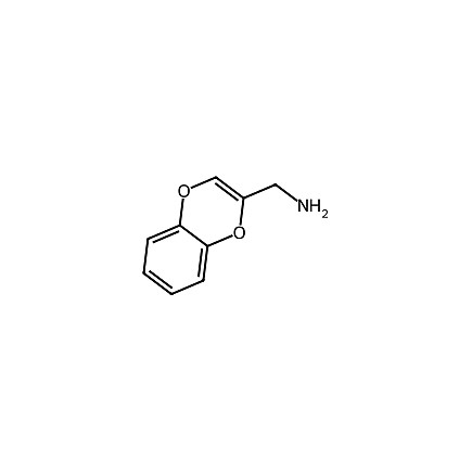 NCC1=COc2ccccc2O1